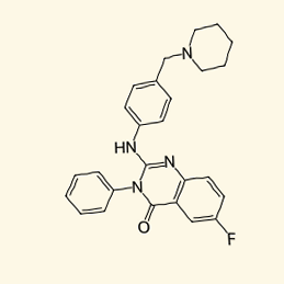 O=c1c2cc(F)ccc2nc(Nc2ccc(CN3CCCCC3)cc2)n1-c1ccccc1